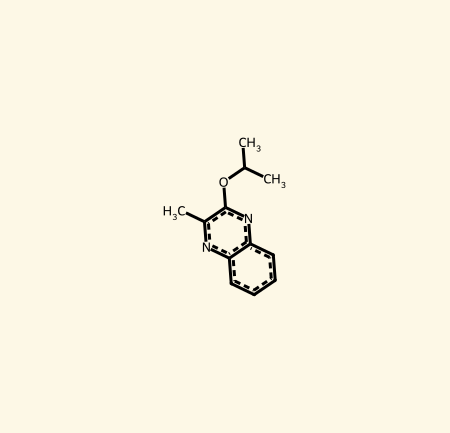 Cc1nc2ccccc2nc1OC(C)C